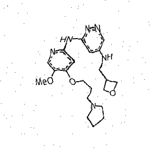 COc1cnc(Nc2cc(NCC3COC3)cnn2)cc1OCCCN1CCCC1